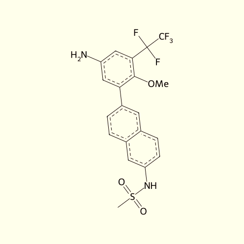 COc1c(-c2ccc3cc(NS(C)(=O)=O)ccc3c2)cc(N)cc1C(F)(F)C(F)(F)F